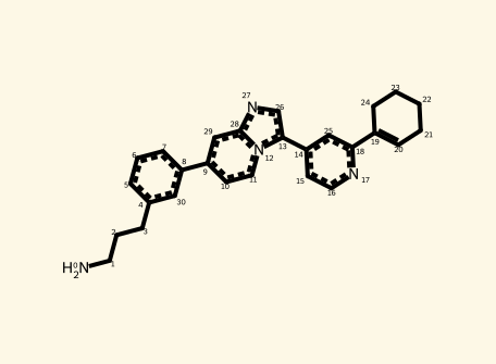 NCCCc1cccc(-c2ccn3c(-c4ccnc(C5=CCCCC5)c4)cnc3c2)c1